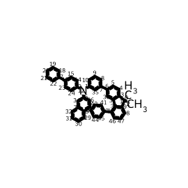 CC1(C)c2ccc(-c3cccc(N(c4ccc(-c5ccccc5)cc4)c4ccc5ccccc5c4)c3)cc2-c2c(-c3ccccc3)cccc21